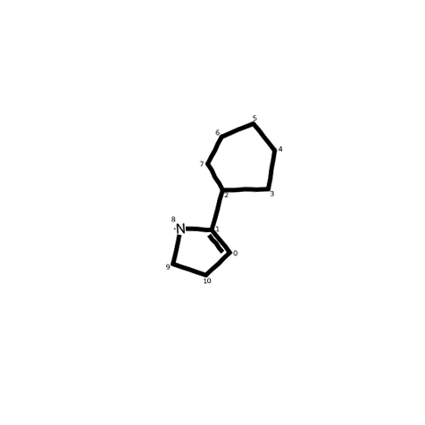 C1=C(C2CCCCC2)[N]CC1